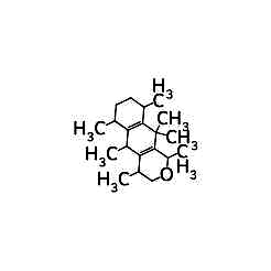 CC1CCC(C)C2=C1C(C)C1=C(C(C)OCC1C)C2(C)C